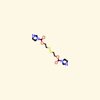 O=C(OCCSSCCOC(=O)n1ccnc1)n1ccnc1